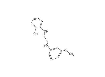 COc1cccc(NCCNc2ccccc2O)c1